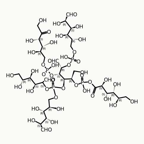 O=C[C@@H](O)[C@@H](O)[C@H](O)[C@H](O)COP(=O)(O[C@@H]([C@H](OP(=O)(O)OC[C@@H](O)[C@@H](O)[C@H](O)C(=O)CO)[C@H](C=O)OP(=O)(O)OC[C@@H](O)[C@@H](O)[C@H](O)[C@@H](O)C=O)[C@@H](CO)OP(=O)(O)OC(=O)[C@@H](O)[C@@H](O)[C@H](O)[C@H](O)CO)O[C@H](C=O)[C@@H](O)[C@H](O)[C@H](O)CO